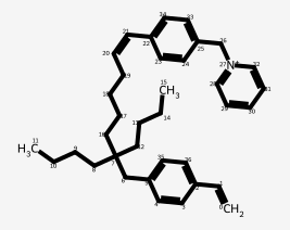 C=Cc1ccc(CC(CCCC)(CCCC)CCCC/C=C\c2ccc(C[n+]3ccccc3)cc2)cc1